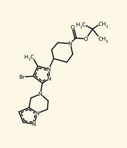 Cc1c(Br)c(N2CCn3nccc3C2)nn1C1CCN(C(=O)OC(C)(C)C)CC1